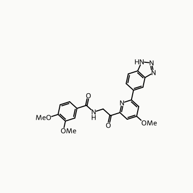 COc1cc(C(=O)CNC(=O)c2ccc(OC)c(OC)c2)nc(-c2ccc3[nH]nnc3c2)c1